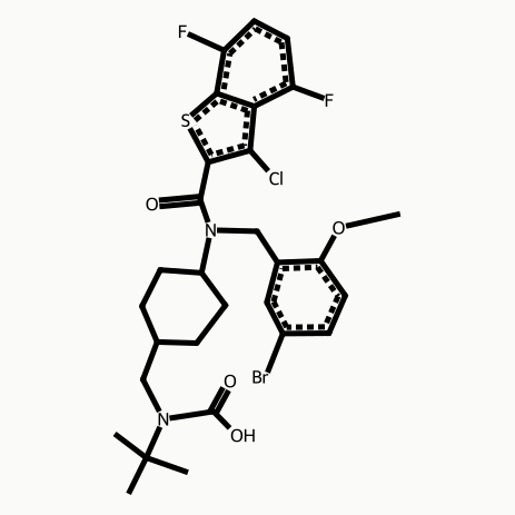 COc1ccc(Br)cc1CN(C(=O)c1sc2c(F)ccc(F)c2c1Cl)C1CCC(CN(C(=O)O)C(C)(C)C)CC1